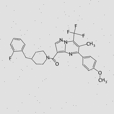 COc1ccc(-c2nc3c(C(=O)N4CCC(Cc5ccccc5F)CC4)cnn3c(C(F)(F)F)c2C)cc1